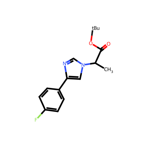 CC(C(=O)OC(C)(C)C)n1cnc(-c2ccc(F)cc2)c1